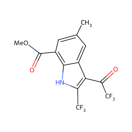 COC(=O)c1cc(C)cc2c(C(=O)C(F)(F)F)c(C(F)(F)F)[nH]c12